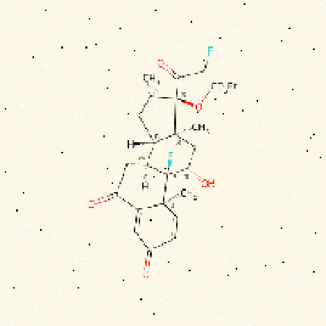 CCOC(=O)O[C@]1(C(=O)CF)[C@@H](C)C[C@H]2[C@@H]3CC(=O)C4=CC(=O)C=C[C@]4(C)[C@@]3(F)[C@@H](O)C[C@@]21C